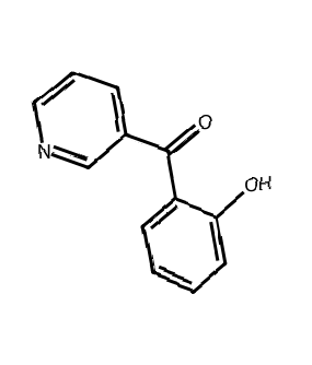 O=C(c1cccnc1)c1ccccc1O